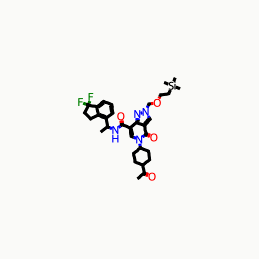 CC(=O)C1CCC(n2cc(C(=O)NC(C)c3cccc4c3CCC4(F)F)c3nn(COCC[Si](C)(C)C)cc3c2=O)CC1